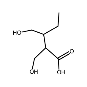 CCC(CO)C(CO)C(=O)O